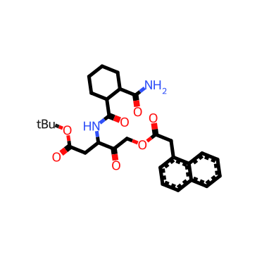 CC(C)(C)OC(=O)CC(NC(=O)C1CCCCC1C(N)=O)C(=O)COC(=O)Cc1cccc2ccccc12